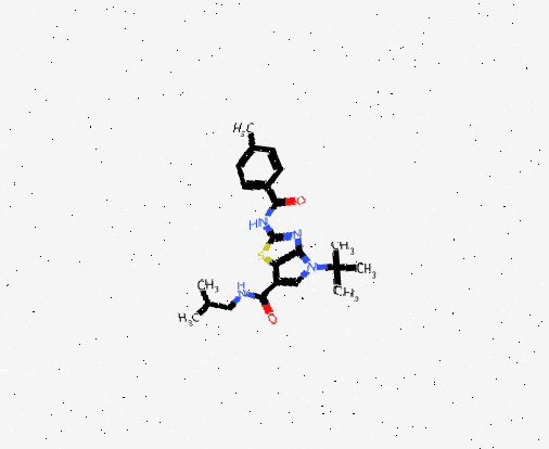 Cc1ccc(C(=O)Nc2nc3c(s2)c(C(=O)NCC(C)C)cn3C(C)(C)C)cc1